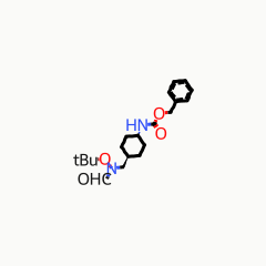 CC(C)(C)ON(C=O)C[C@H]1CC[C@H](NC(=O)OCc2ccccc2)CC1